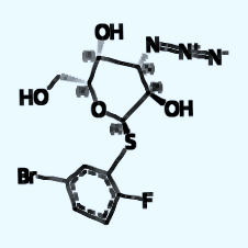 [N-]=[N+]=N[C@@H]1[C@@H](O)[C@@H](Sc2cc(Br)ccc2F)O[C@H](CO)[C@@H]1O